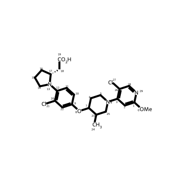 COc1cc(N2CCC(Oc3ccc(N4CCC[C@@H]4CC(=O)O)c(Cl)c3)C(C)C2)c(Cl)cn1